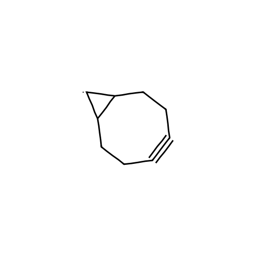 C1#CCCC2[CH]C2CC1